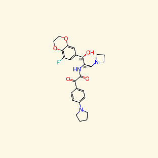 O=C(N[C@H](CN1CCC1)[C@H](O)c1cc(F)c2c(c1)OCCO2)C(=O)c1ccc(N2CCCC2)cc1